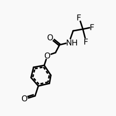 O=Cc1ccc(OCC(=O)NCC(F)(F)F)cc1